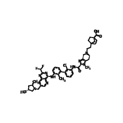 Cc1c(Nc2nc(C(F)F)nc3cc(CN4C[C@H](O)C[C@H]4C)cnc23)cccc1-c1cccc(NC(=O)c2nc3c(n2C)CCN(CCC24CCC(C(=O)O)(CC2)C4)C3)c1Cl